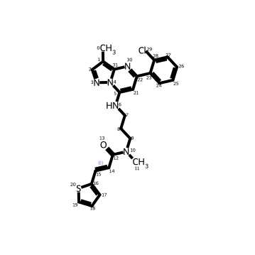 Cc1cnn2c(NCCCN(C)C(=O)/C=C/c3cccs3)cc(-c3ccccc3Cl)nc12